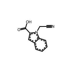 N#CCn1c(C(=O)O)cc2ccccc21